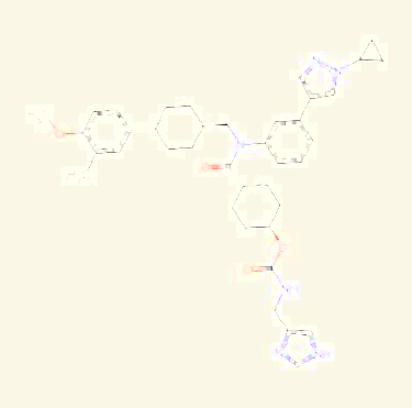 COc1ccc([C@H]2CC[C@H](CN(c3cccc(-c4cnn(C5CC5)c4)c3)C(=O)[C@H]3CC[C@H](OC(=O)NCc4c[nH]cn4)CC3)CC2)cc1C